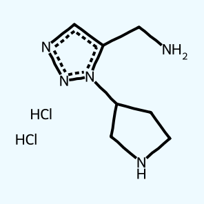 Cl.Cl.NCc1cnnn1C1CCNC1